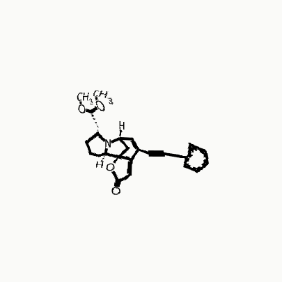 COC(OC)[C@H]1CC[C@H]2N1[C@@H]1C=C(C#Cc3ccccc3)C3=CC(=O)O[C@@]32C1